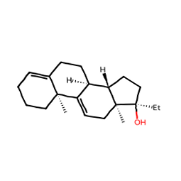 CC[C@@]1(O)CC[C@H]2[C@@H]3CCC4=CCCC[C@]4(C)C3=CC[C@@]21C